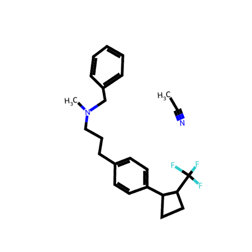 CC#N.CN(CCCc1ccc(C2CCC2C(F)(F)F)cc1)Cc1ccccc1